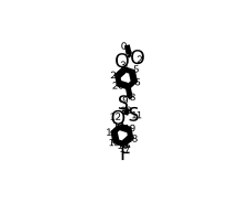 CC(=O)Oc1ccc(CSC(=S)Oc2ccc(F)cc2)cc1